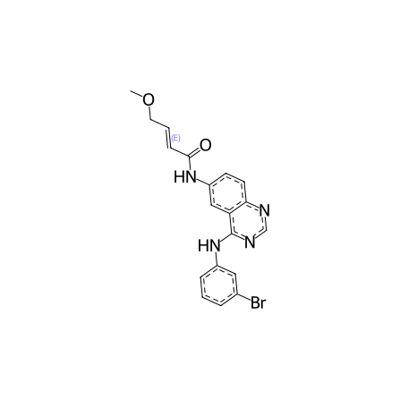 COC/C=C/C(=O)Nc1ccc2ncnc(Nc3cccc(Br)c3)c2c1